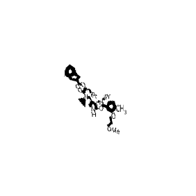 COCCCOc1cc(C(=O)N(C[C@@H]2CNC[C@H]2CN(C(=O)[C@H](CC(C)C)OC(=O)C2Cc3ccccc3C2)C2CC2)C(C)C)ccc1C